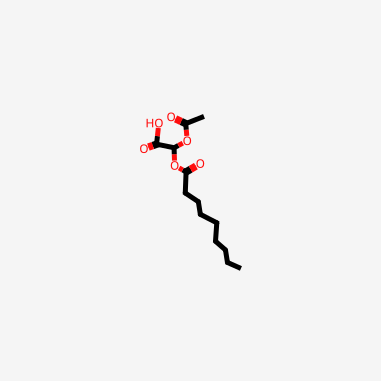 CCCCCCCCC(=O)OC(OC(C)=O)C(=O)O